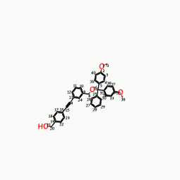 COc1ccc(C(OCc2cccc(C#Cc3ccc(CO)cc3)c2)(c2ccccc2)c2ccc(OC)cc2)cc1